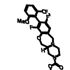 COc1cccc(C(F)(F)F)c1-c1c(F)cc2c(c1F)OC[C@H]1CN(C(=O)OC(C)(C)C)CCN1C2